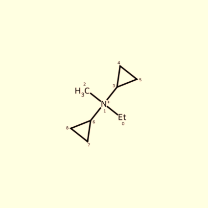 CC[N+](C)(C1CC1)C1CC1